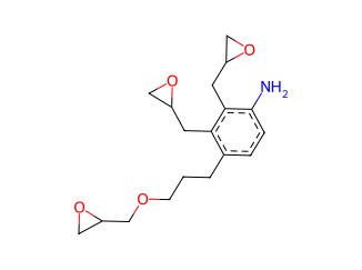 Nc1ccc(CCCOCC2CO2)c(CC2CO2)c1CC1CO1